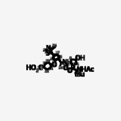 CC(=O)N[C@H](C(=O)N1C[C@H](O)C[C@H]1C(=O)N[C@@H](C)c1ccc(-c2scnc2C)cc1OC1CCC(C(=O)O)CC1)C(C)(C)C